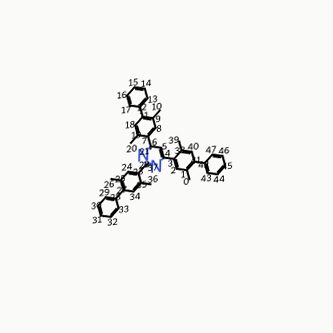 Cc1cc(-c2cc(-c3cc(C)c(-c4ccccc4)cc3C)nc(-c3cc(C)c(-c4ccccc4)cc3C)n2)c(C)cc1-c1ccccc1